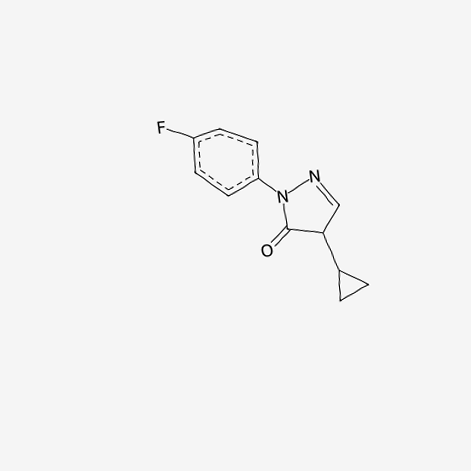 O=C1C(C2CC2)C=NN1c1ccc(F)cc1